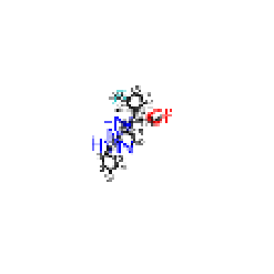 Cc1ccc(Nc2nccc(NC(CO)c3cccc(F)c3)n2)cc1